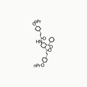 CCCOc1ccc(C=CC(=O)Nc2ccc(C(=O)C=Cc3ccc(OCCC)cc3)c(C(=O)c3ccccc3)c2)cc1